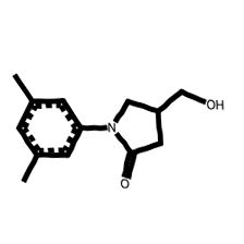 Cc1cc(C)cc(N2CC(CO)CC2=O)c1